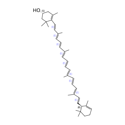 CC1=CCCC(C)(C)[C@H]1/C=C/C(C)=C/C=C/C(C)=C/C=C/C=C(C)/C=C/C=C(C)/C=C/C1=C(C)C[C@@H](O)CC1(C)C